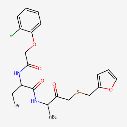 CCCCC(NC(=O)C(CC(C)C)NC(=O)COc1ccccc1F)C(=O)CSCc1ccco1